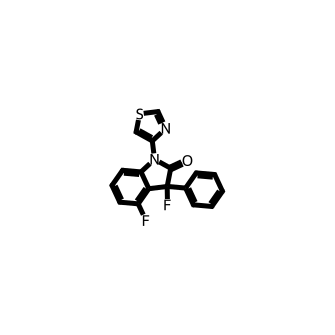 O=C1N(c2cscn2)c2cccc(F)c2C1(F)c1ccccc1